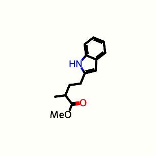 COC(=O)C(C)CCc1cc2ccccc2[nH]1